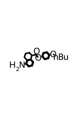 CCCCOc1ccc(OC(=O)C2CCCc3c(N)cccc32)cc1